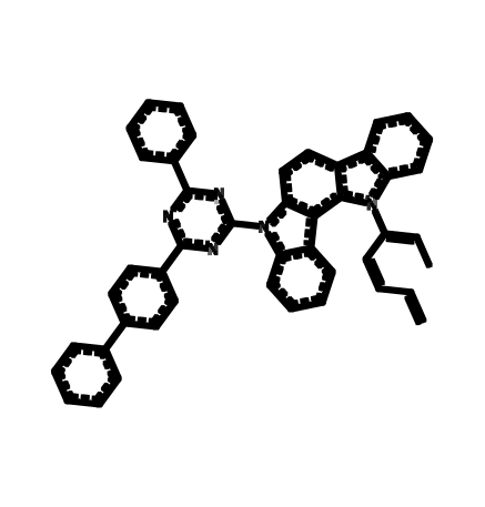 C=C/C=C\C(=C/C)n1c2ccccc2c2ccc3c(c4ccccc4n3-c3nc(-c4ccccc4)nc(-c4ccc(-c5ccccc5)cc4)n3)c21